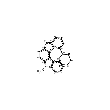 Cn1c2ccccc2c2c3c(ccc21)oc1cccc(C2CCCCC2)c13